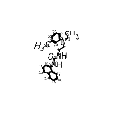 CCN(CCNC(=O)Nc1cccc2ccccc12)c1cccc(C)c1